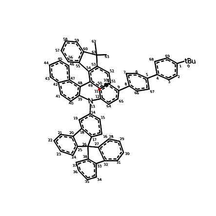 CC(C)(C)c1ccc(-c2ccc(-c3ccc(N(c4ccc5c(c4)-c4ccccc4C54c5ccccc5-c5ccccc54)c4ccc5ccccc5c4-c4cccc5c4-c4ccccc4C5(C)C)cc3)cc2)cc1